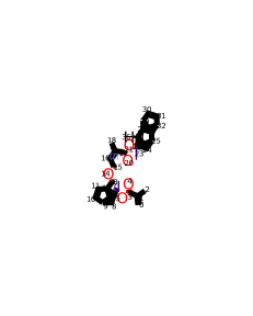 C=C(C)C(=O)OC1(I)CC2C=CC1(COC/C=C(/C)C(=O)OC1(I)CC3C[C@H]1C1C4C=CC(C4)C31)C2